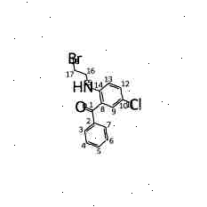 O=C(c1ccccc1)c1cc(Cl)ccc1NCCBr